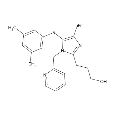 Cc1cc(C)cc(Sc2c(C(C)C)nc(CCCO)n2Cc2ccccn2)c1